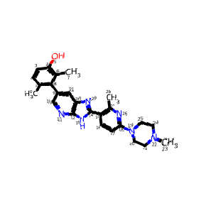 Cc1ccc(O)c(C)c1-c1cnc2[nH]c(-c3ccc(N4CCN(C)CC4)nc3C)nc2c1